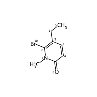 CCc1ccc(=O)n(C)c1Br